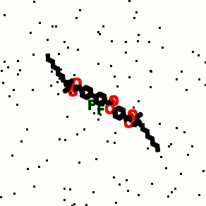 CCCCCCCC[C@@H]1CO[C@@H](c2ccc(OC(=O)c3ccc(-c4ccc([C@@H]5OC[C@@H](CCCCCCCC)C(C)O5)cc4)c(F)c3F)cc2)OC1C